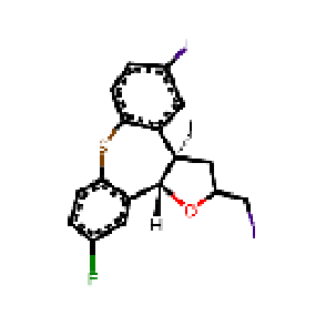 Fc1ccc2c(c1)[C@H]1OC(CI)C[C@@H]1c1cc(I)ccc1S2